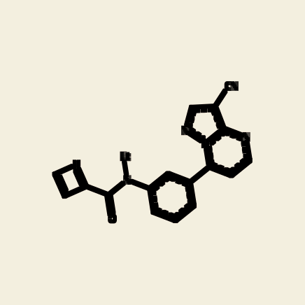 CCN(C(=O)C1=NC=C1)c1cccc(-c2ccnc3c(C#N)cnn23)c1